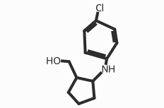 OCC1CCCC1Nc1ccc(Cl)cc1